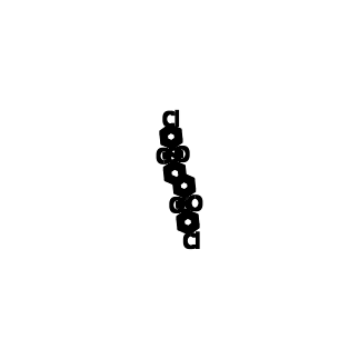 O=S(=O)(c1ccc(Cl)cc1)c1ccc2cc(S(=O)(=O)c3ccc(Cl)cc3)ccc2c1